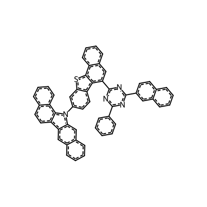 c1ccc(-c2nc(-c3ccc4ccccc4c3)nc(-c3cc4ccccc4c4sc5cc(-n6c7cc8ccccc8cc7c7ccc8ccccc8c76)ccc5c34)n2)cc1